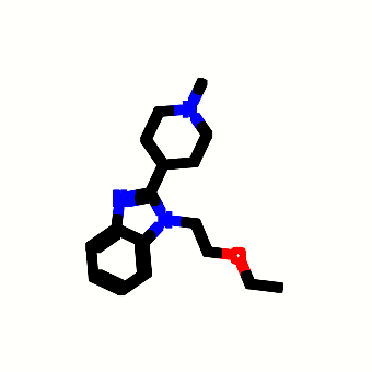 CCOCCn1c(C2CCN(C)CC2)nc2ccccc21